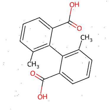 Cc1cccc(C(=O)O)c1-c1c(C)cccc1C(=O)O